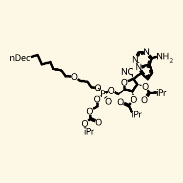 CCCCCCCCCCCCCCCCOCCCO[P@](=O)(OCOC(=O)OC(C)C)OC[C@H]1O[C@@](C#N)(c2ccc3c(N)ncnn23)[C@H](OC(=O)C(C)C)[C@@H]1OC(=O)C(C)C